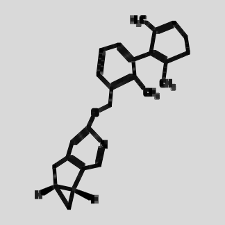 CC1=CCCC(C)=C1c1cccc(COc2cc3c(cn2)[C@@H]2C[C@@H]2C3)c1C